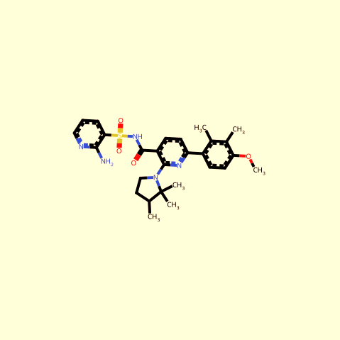 COc1ccc(-c2ccc(C(=O)NS(=O)(=O)c3cccnc3N)c(N3CCC(C)C3(C)C)n2)c(C)c1C